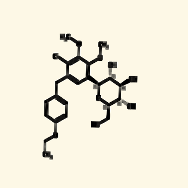 CCOc1ccc(Cc2cc([C@@H]3O[C@H](CO)[C@@H](O)[C@H](O)[C@H]3O)c(OC)c(OC)c2Cl)cc1